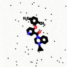 Cc1ccc(C)c(Oc2ccncc2C(=O)N2CCN(C3CC3)c3ccccc32)c1